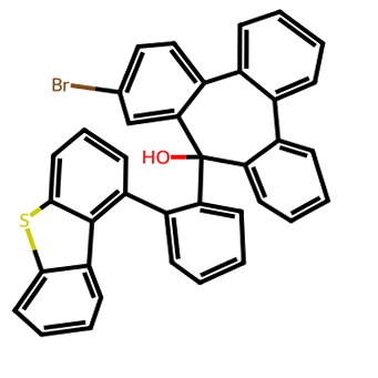 OC1(c2ccccc2-c2cccc3sc4ccccc4c23)c2ccccc2-c2ccccc2-c2ccc(Br)cc21